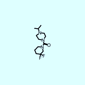 CC(C)N1CCN(C(=O)N2CCCC(F)(F)C2)CC1